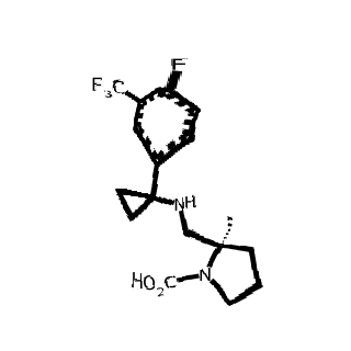 C[C@]1(CNC2(c3ccc(F)c(C(F)(F)F)c3)CC2)CCCN1C(=O)O